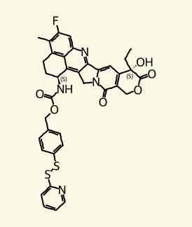 CC[C@@]1(O)C(=O)OCc2c1cc1n(c2=O)Cc2c-1nc1cc(F)c(C)c3c1c2[C@@H](NC(=O)OCc1ccc(SSc2ccccn2)cc1)CC3